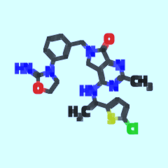 C=C(Nc1nc(C)nc2c1CN(Cc1cccc(N3CCOC3=N)c1)C2=O)c1ccc(Cl)s1